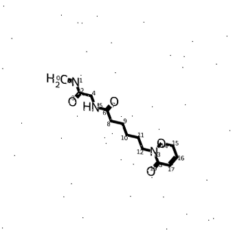 C=NC(=O)CNC(=O)CCCCCN1OCC=CC1=O